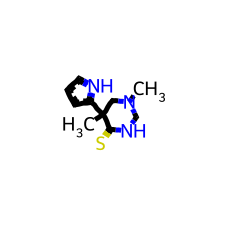 CN1CNC(=S)C(C)(c2ccc[nH]2)C1